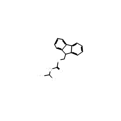 CCCC(CC)NC(=O)OCC1c2ccccc2-c2ccccc21